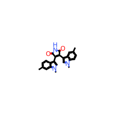 Cc1ccc2c(c1)c(C1=C(c3cn(C)c4cc(C)ccc34)C(=O)NC1=O)cn2C